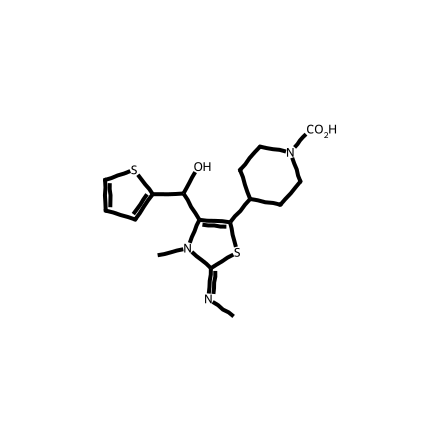 C/N=c1\sc(C2CCN(C(=O)O)CC2)c(C(O)c2cccs2)n1C